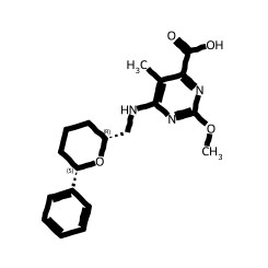 COc1nc(NC[C@H]2CCC[C@@H](c3ccccc3)O2)c(C)c(C(=O)O)n1